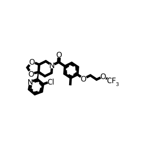 Cc1cc(C(=O)N2CC[C@]3(c4ncccc4Cl)OCOC3C2)ccc1OCCOC(F)(F)F